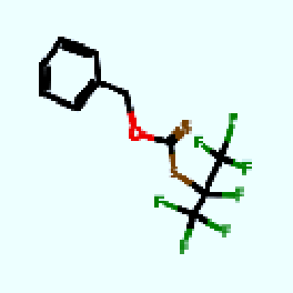 FC(F)(F)C(F)(SC(=S)OCc1ccccc1)C(F)(F)F